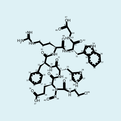 N=C(N)NCCC[C@H](NC(=O)[C@H](Cc1ccccc1)NC(=O)[C@H](Cc1c[nH]cn1)NC(=O)[C@H](CCC(=O)O)N(N=O)C(=O)NCCCl)C(=O)N[C@@H](Cc1c[nH]c2ccccc12)C(=O)NCC(=O)O